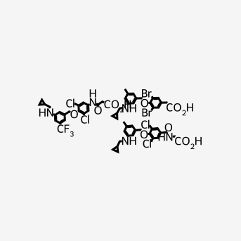 Cc1cc(COc2c(Br)cc(CC(=O)O)cc2Br)cc(NCC2CC2)c1.Cc1cc(COc2c(Cl)cc(C(=O)NCC(=O)O)cc2Cl)cc(NCC2CC2)c1.O=C(O)CC(=O)Nc1cc(Cl)c(OCc2cc(NCC3CC3)cc(C(F)(F)F)c2)c(Cl)c1